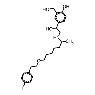 CC(CCCCCOCCc1ccc(F)cc1)NCC(O)c1ccc(O)c(CO)c1